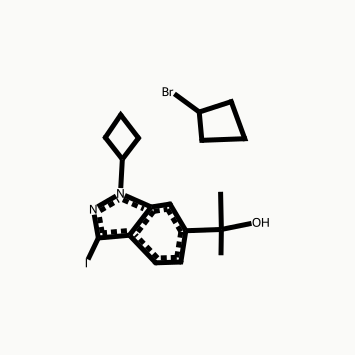 BrC1CCC1.CC(C)(O)c1ccc2c(I)nn(C3CCC3)c2c1